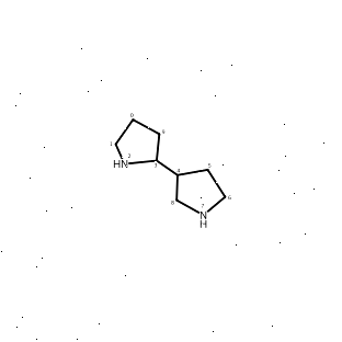 C1CNC(C2CCNC2)C1